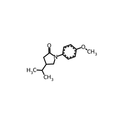 COc1ccc(N2CC(C(C)C)CC2=O)cc1